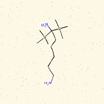 C[Si](C)(C)C(N)(CCCCCN)[Si](C)(C)C